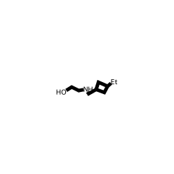 CCC1CC(CNCCO)C1